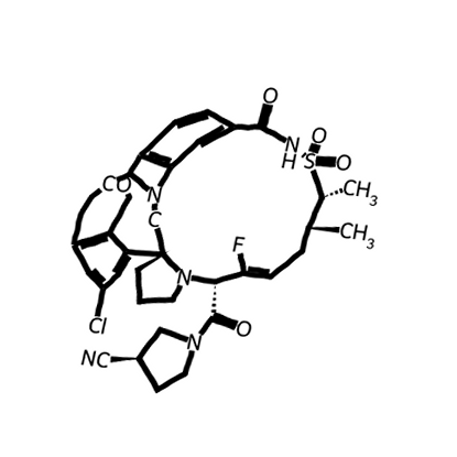 C[C@@H]1[C@@H](C)C/C=C(\F)[C@H](C(=O)N2CC[C@@H](C#N)C2)N2CCC[C@@]23CN2CCCCc4cc(Cl)cc3c4COc3ccc(cc32)C(=O)NS1(=O)=O